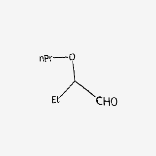 CCCOC(C=O)CC